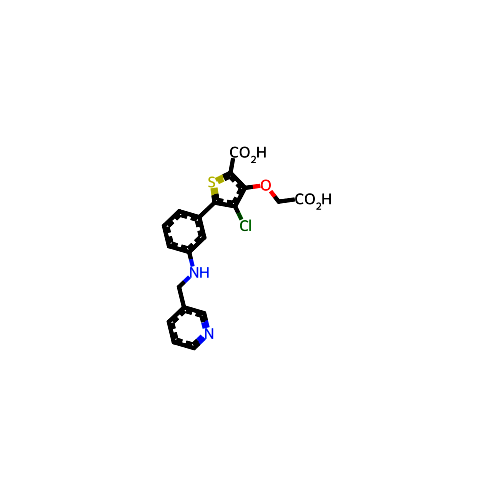 O=C(O)COc1c(C(=O)O)sc(-c2cccc(NCc3cccnc3)c2)c1Cl